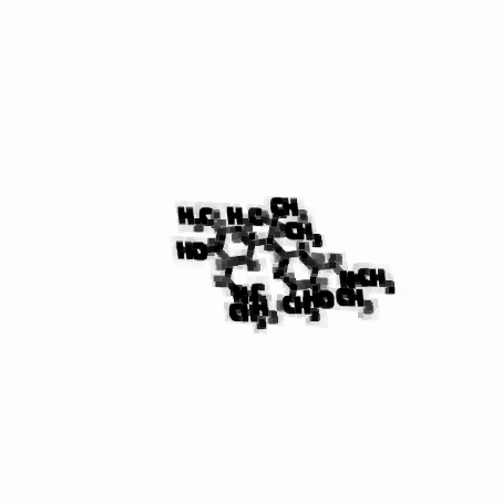 Cc1cc(C(c2cc(C)c(O)c(CN(C)C)c2)C(C)(C)C)cc(CN(C)C)c1O